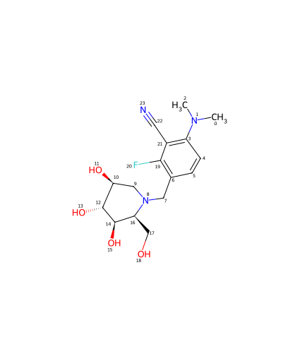 CN(C)c1ccc(CN2C[C@H](O)[C@@H](O)[C@H](O)[C@@H]2CO)c(F)c1C#N